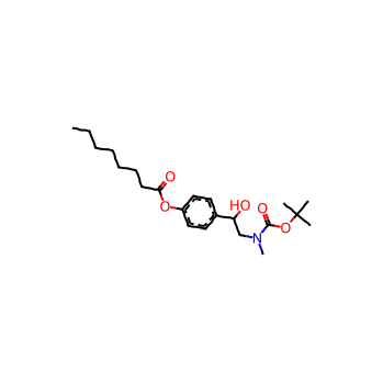 CCCCCCCC(=O)Oc1ccc(C(O)CN(C)C(=O)OC(C)(C)C)cc1